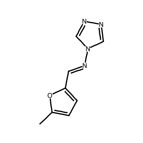 Cc1ccc(C=Nn2cnnc2)o1